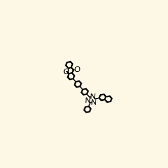 O=c1c2ccccc2oc2ccc(-c3ccc(-c4ccc(-c5nc(-c6ccccc6)nc(-c6ccc7ccccc7c6)n5)cc4)cc3)cc12